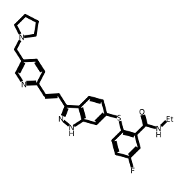 CCNC(=O)c1cc(F)ccc1Sc1ccc2c(/C=C/c3ccc(CN4CCCC4)cn3)n[nH]c2c1